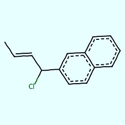 CC=CC(Cl)c1ccc2ccccc2c1